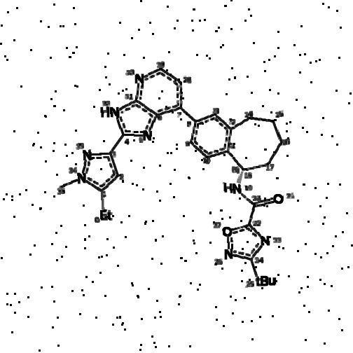 CCc1cc(-c2nc3c(-c4ccc5c(c4)CCCC[C@@H]5NC(=O)c4nc(C(C)(C)C)no4)ccnc3[nH]2)nn1C